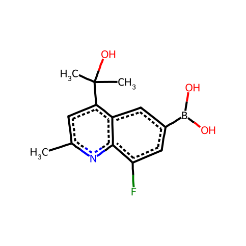 Cc1cc(C(C)(C)O)c2cc(B(O)O)cc(F)c2n1